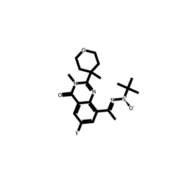 CC(=N[S@+]([O-])C(C)(C)C)c1cc(F)cc2c(=O)n(C)c(C3(C)CCOCC3)nc12